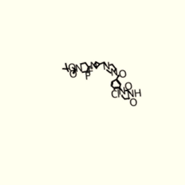 CC(C)(C)OC(=O)N1CCC(N2CC(CN3CCN(C(=O)c4ccc(Cl)c(N5CCC(=O)NC5=O)c4)CC3)C2)C(F)(F)C1